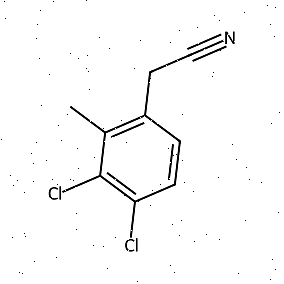 Cc1c(CC#N)ccc(Cl)c1Cl